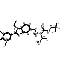 CCn1c(-c2cc(C)c(=O)n(C)c2)nc2cc(CN[C@H](C(=O)OCC(C)(C)C)[C@@H](C)O)ccc21